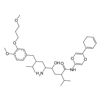 COCCCOc1cc(CC(CC(N)C(O)CC(C(=O)NC2=COC(C3=CC=CCC3)=CO2)C(C)C)C(C)C)ccc1OC